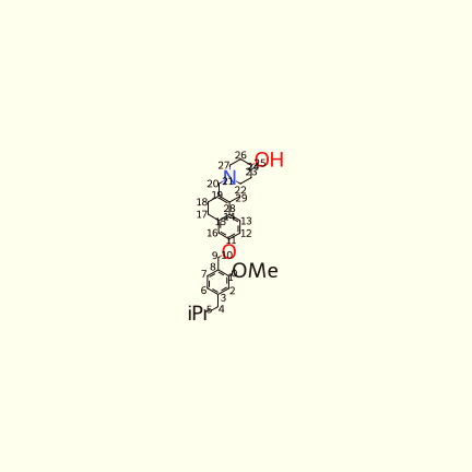 COc1cc(CC(C)C)ccc1COc1ccc2c(c1)CCC(CN1CCC(O)CC1)=C2C